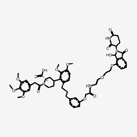 COc1cc(CC(=O)N2CCC(c3c(CCCc4cccc(OCC(=O)NCCOCCOc5cccc6c5C(O)N(C5CCC(=O)NC5=O)C6=O)c4)ccc(OC)c3OC)C[C@H]2C(=O)O)cc(OC)c1OC